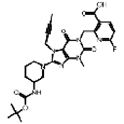 CC#CCn1c(N2CCCC(NC(=O)OC(C)(C)C)C2)nc2c1c(=O)n(Cc1nc(F)ccc1C(=O)O)c(=O)n2C